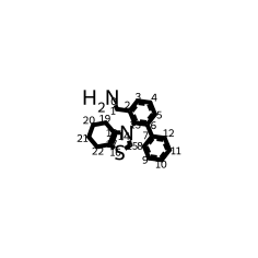 NCc1cccc(-c2ccccc2)c1N1CSC2=C1CCCC2